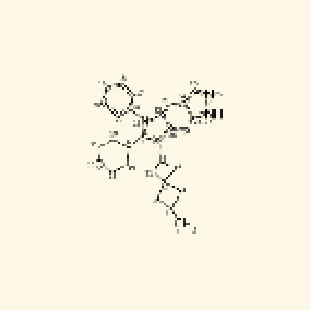 CC1CC2(C1)CC(c1c(C3CCOCC3)n(-c3ccccc3)c3cc4cn[nH]c4cc13)C2